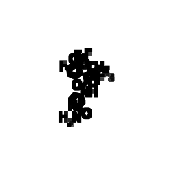 Cc1c(F)ccc([C@@H]2[C@@H](C)[C@@](F)(C(F)(F)F)O[C@H]2C(=O)Nc2ccnc(C(N)=O)c2)c1OC(F)F